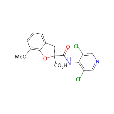 COc1cccc2c1OC(C(=O)O)(C(=O)Nc1c(Cl)cncc1Cl)C2